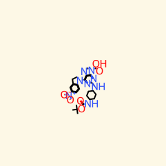 CC(C)(C)OC(=O)N[C@H]1CC[C@H](Nc2nc(N3CCc4cc([N+](=O)[O-])ccc43)c3ncn(C(=O)O)c3n2)CC1